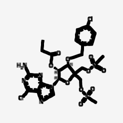 CCC(=O)O[C@H]1[C@H](n2cnc3c(Cl)nc(N)nc32)OC(COS(C)(=O)=O)(COS(C)(=O)=O)[C@H]1OCc1ccc(Cl)cc1